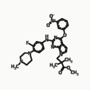 COC(=O)C(C)(C)Cn1ccc2c(Oc3cccc([N+](=O)[O-])c3)nc(Nc3ccc(N4CCN(C)CC4)c(F)c3)nc21